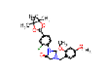 COc1ccc(CN2CC(=O)N(c3ccc(B4OC(C)(C)C(C)(C)O4)cc3F)C2)c(OC)c1